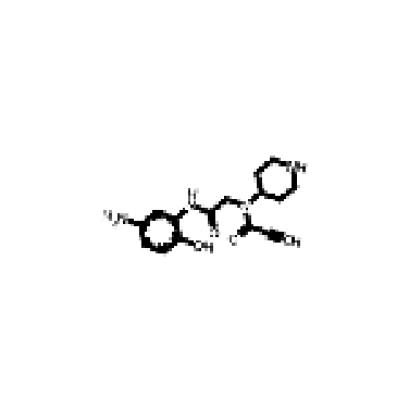 C#CC(=O)N(CC(=O)Nc1cc(N)ccc1O)C1CCNCC1